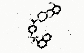 COc1cccc(OC)c1CN1CCCN(C(=O)c2ccc(NS(=O)(=O)c3cccc4cccnc34)cc2)CC1